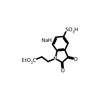 CCOC(=O)CCN1C(=O)C(=O)c2cc(S(=O)(=O)O)ccc21.[NaH]